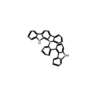 c1ccc(-n2c3ccccc3c3ccc4c5ccccc5[nH]c4c32)c(-c2cccc3[nH]c4ccccc4c23)c1